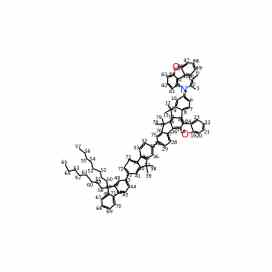 C/C=C(\C)N(c1ccc2c(c1)C(C)(C)c1c3c(c4oc5ccccc5c4c1-2)-c1ccc(-c2ccc4c(c2)C(C)(C)c2cc(-c5ccc6c(c5)C(CCCCCCCC)(CCCCCCCC)c5ccccc5-6)ccc2-4)cc1C3(C)C)c1cccc2oc3ccccc3c12